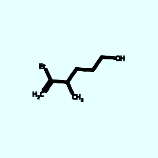 C=C(CC)C(C)CCCO